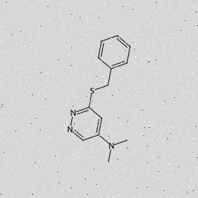 CN(C)c1cnnc(SCc2ccccc2)c1